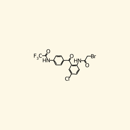 O=C(CBr)Nc1ccc(Cl)cc1C(=O)c1ccc(NC(=O)C(F)(F)F)cc1